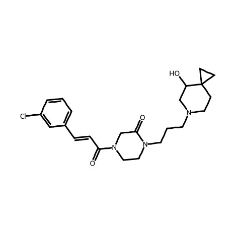 O=C(C=Cc1cccc(Cl)c1)N1CCN(CCCN2CCC3(CC3)C(O)C2)C(=O)C1